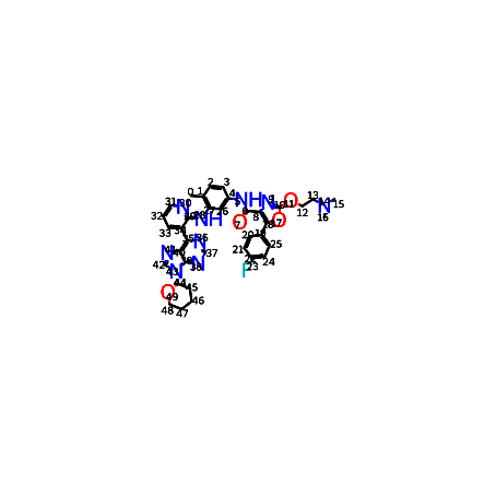 Cc1ccc(NC(=O)c2nc(OCCN(C)C)oc2-c2ccc(F)cc2)cc1Nc1ncccc1-c1ncnc2c1ncn2C1CCCCO1